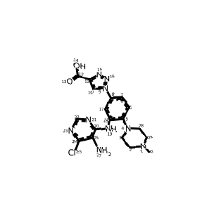 CN1CCN(c2ccc(-n3cc(C(=O)O)nn3)cc2Nc2ncnc(Cl)c2N)CC1